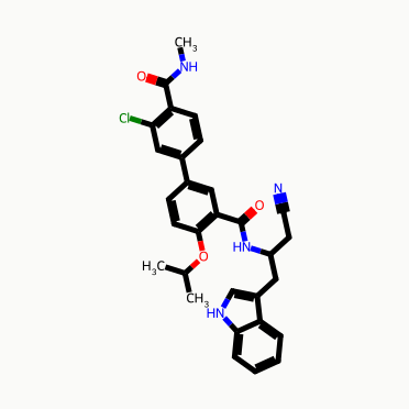 CNC(=O)c1ccc(-c2ccc(OC(C)C)c(C(=O)NC(CC#N)Cc3c[nH]c4ccccc34)c2)cc1Cl